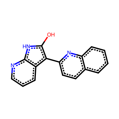 Oc1[nH]c2ncccc2c1-c1ccc2ccccc2n1